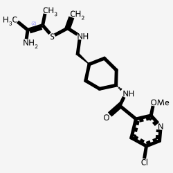 C=C(NC[C@H]1CC[C@H](NC(=O)c2cc(Cl)cnc2OC)CC1)S/C(C)=C(/C)N